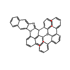 c1ccc(-c2cccc(-c3ccccc3)c2B2c3ccccc3C3c4c2ccc2cccc(c42)-n2c3nc3cc4ccccc4cc32)cc1